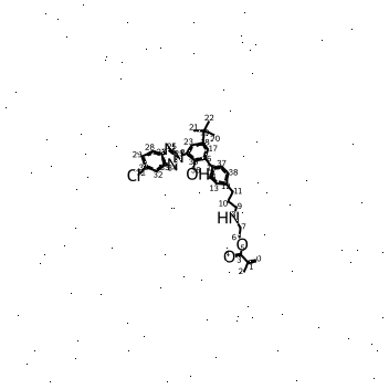 C=C(C)C(=O)OCCNCCCc1ccc(-c2cc(C(C)(C)C)cc(-n3nc4ccc(Cl)cc4n3)c2O)cc1